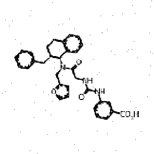 O=C(NCC(=O)N(Cc1ccco1)[C@@H]1c2ccccc2CC[C@@H]1Cc1ccccc1)Nc1cccc(C(=O)O)c1